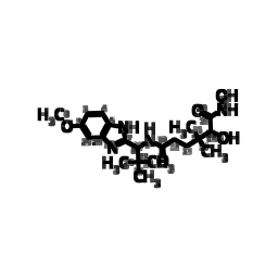 COc1ccc2[nH]c([C@@H](NC(=O)CCC(C)(C)[C@H](O)C(=O)NO)C(C)(C)C)nc2c1